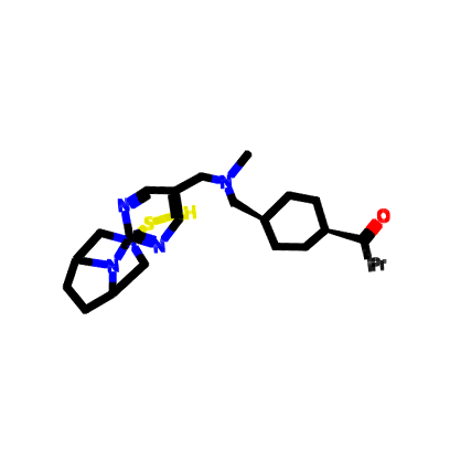 CC(C)C(=O)[C@H]1CC[C@@H](CN(C)Cc2cnc(N3C4CCC3CN(SS)C4)nc2)CC1